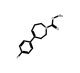 CC(C)(C)OC(=O)N1CCC=C(c2ccc(F)cc2)CC1